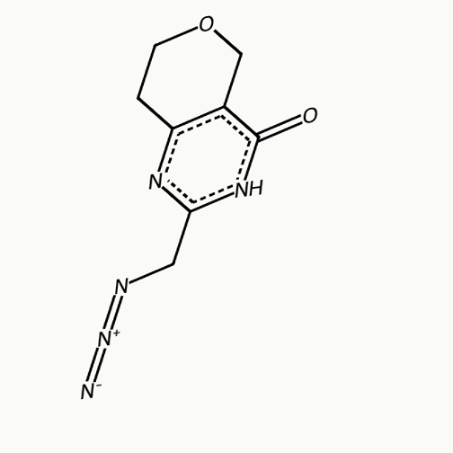 [N-]=[N+]=NCc1nc2c(c(=O)[nH]1)COCC2